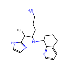 CC(c1ncc[nH]1)C(CCCN)NC1CCCc2cccnc21